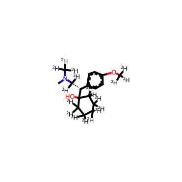 [2H]C([2H])([2H])Oc1ccc([C@@H](C([2H])([2H])N(C)C([2H])([2H])[2H])C2(O)C([2H])([2H])C([2H])([2H])C([2H])([2H])C([2H])([2H])C2([2H])[2H])cc1